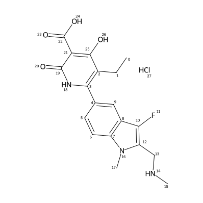 CCc1c(-c2ccc3c(c2)c(F)c(CNC)n3C)[nH]c(=O)c(C(=O)O)c1O.Cl